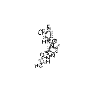 C[C@H]1Cc2nc(NC(=O)[C@H]3C[C@H](O)C3)sc2CN1C(=O)Nc1ccc(F)c(Cl)c1